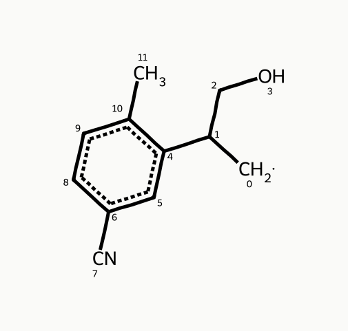 [CH2]C(CO)c1cc(C#N)ccc1C